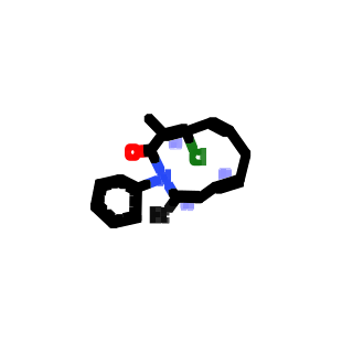 CC/C1=C/C=C/CC=C/C(Cl)=C(\C)C(=O)N1c1ccccc1